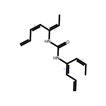 C=C/C=C\C(=C/C)NC(=O)NC(/C=C\C)=C/C=C